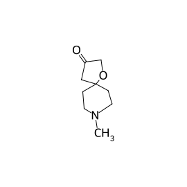 CN1CCC2(CC1)CC(=O)CO2